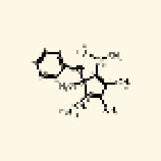 CC1=C(C)C(C)(Pc2ccccc2)[C]([Ti]([CH3])[CH3])=C1C.[SiH4]